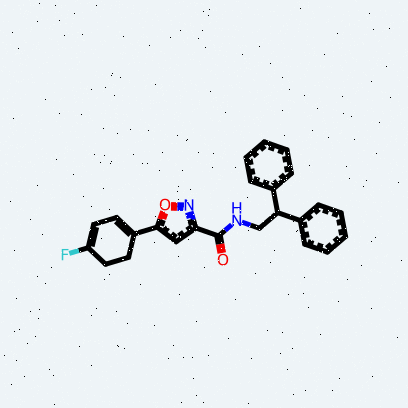 O=C(NCC(c1ccccc1)c1ccccc1)c1cc(C2=CC=C(F)CC2)on1